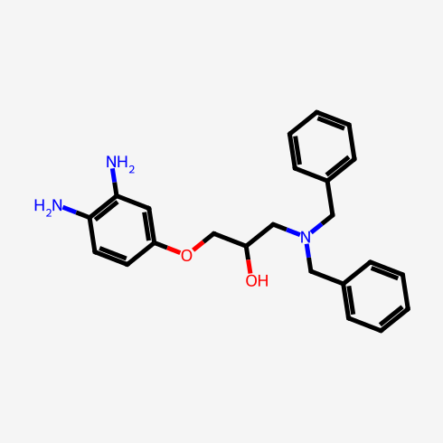 Nc1ccc(OCC(O)CN(Cc2ccccc2)Cc2ccccc2)cc1N